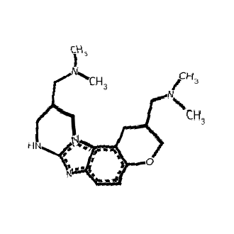 CN(C)CC1COc2ccc3nc4n(c3c2C1)CC(CN(C)C)CN4